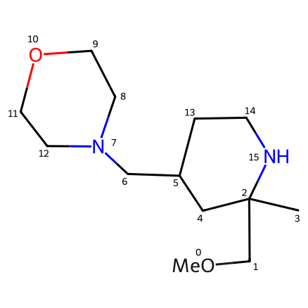 COCC1(C)CC(CN2CCOCC2)CCN1